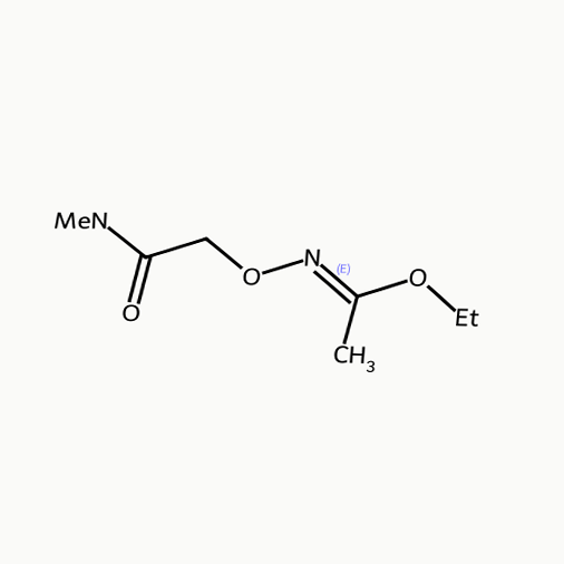 CCO/C(C)=N/OCC(=O)NC